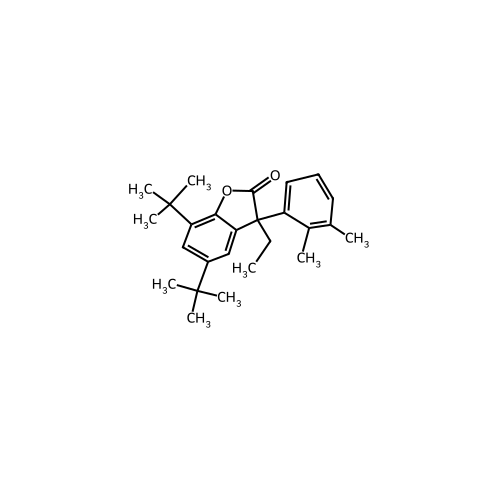 CCC1(c2cccc(C)c2C)C(=O)Oc2c(C(C)(C)C)cc(C(C)(C)C)cc21